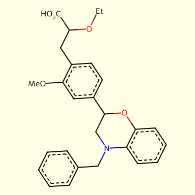 CCOC(Cc1ccc(C2CN(Cc3ccccc3)c3ccccc3O2)cc1OC)C(=O)O